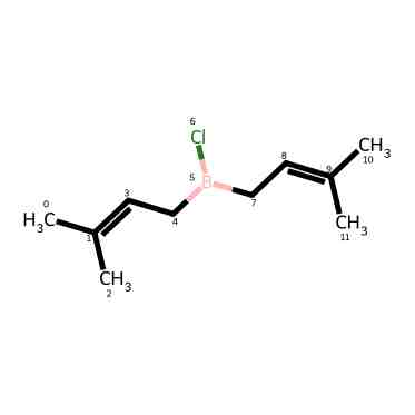 CC(C)=CCB(Cl)CC=C(C)C